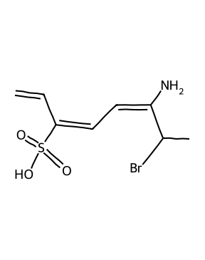 C=C/C(=C\C=C(\N)C(C)Br)S(=O)(=O)O